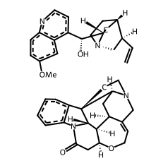 C=C[C@H]1C[N@]2CC[C@H]1C[C@H]2[C@H](O)c1ccnc2ccc(OC)cc12.O=C1C[C@@H]2OCC=C3CN4CC[C@]56c7ccccc7N1[C@H]5[C@H]2[C@H]3C[C@H]46